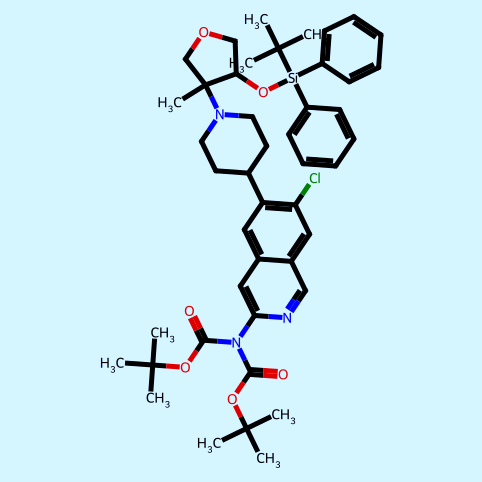 CC(C)(C)OC(=O)N(C(=O)OC(C)(C)C)c1cc2cc(C3CCN(C4(C)COCC4O[Si](c4ccccc4)(c4ccccc4)C(C)(C)C)CC3)c(Cl)cc2cn1